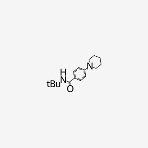 CC(C)(C)NC(=O)c1ccc(N2CCCCC2)cc1